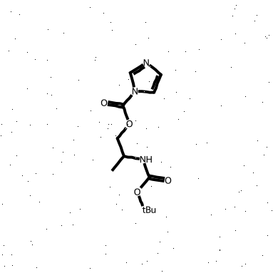 CC(COC(=O)n1ccnc1)NC(=O)OC(C)(C)C